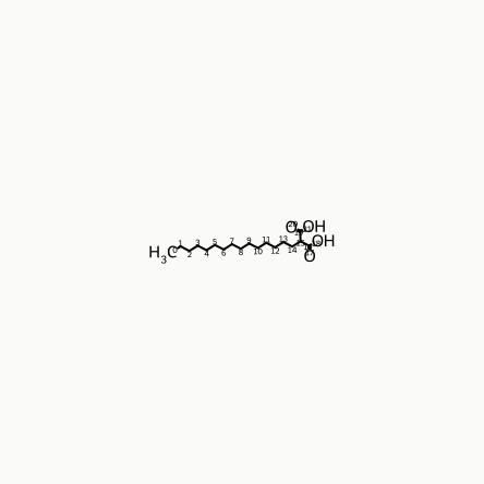 CCCCCCCCCCCCCCCC(C(=O)O)C(=O)O